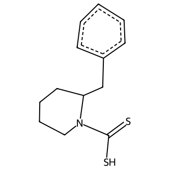 S=C(S)N1CCCCC1Cc1ccccc1